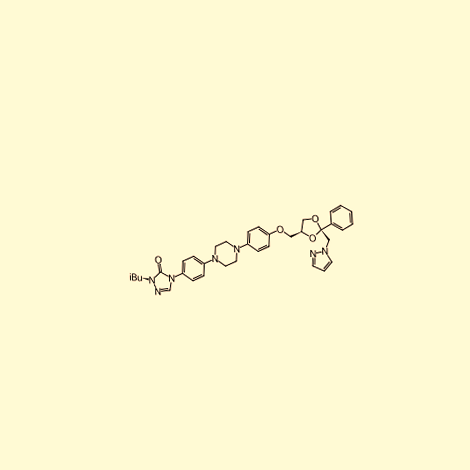 CC[C@H](C)n1ncn(-c2ccc(N3CCN(c4ccc(OC[C@H]5CO[C@](Cn6cccn6)(c6ccccc6)O5)cc4)CC3)cc2)c1=O